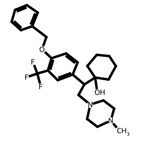 CN1CCN(CC(c2ccc(OCc3ccccc3)c(C(F)(F)F)c2)C2(O)CCCCC2)CC1